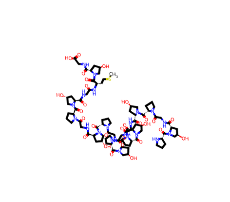 CSCC[C@H](NC(=O)CNC(=O)[C@@H]1C[C@@H](O)CN1C(=O)[C@@H]1CCCN1C(=O)CNC(=O)[C@@H]1C[C@@H](O)CN1C(=O)[C@@H]1CCCN1C(=O)CNC(=O)[C@@H]1C[C@@H](O)CN1C(=O)[C@@H]1CCCN1C(=O)CNC(=O)[C@@H]1C[C@@H](O)CN1C(=O)[C@@H]1CCCN1C(=O)CNC(=O)[C@@H]1C[C@@H](O)CN1C(=O)[C@@H]1CCCN1C(=O)CNC(=O)[C@@H]1C[C@@H](O)CN1C(=O)[C@@H]1CCCN1)C(=O)N1C[C@H](O)C[C@H]1C(=O)NCC(=O)O